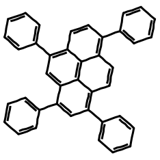 c1ccc(-c2ccc3c(-c4ccccc4)cc4c(-c5ccccc5)cc(-c5ccccc5)c5ccc2c3c54)cc1